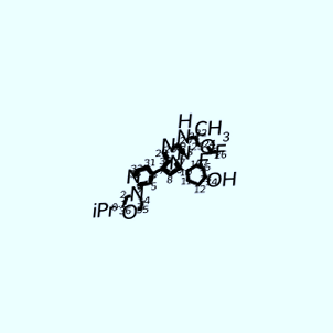 CC(C)[C@@H]1CN(c2cc(-c3cc([C@H]4CC[C@H](O)CC4)n4nc(N[C@@H](C)COC(F)F)ncc34)ccn2)CCO1